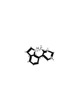 Cc1ncncc1-c1cccc2ccsc12